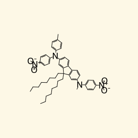 CCCCCCCCC1(CCCCCCCC)c2cc(N(C)c3ccc([N+](=O)[O-])cc3)ccc2-c2ccc(N(c3ccc(C)cc3)c3ccc([N+](=O)[O-])cc3)cc21